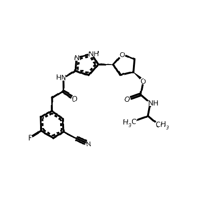 CC(C)NC(=O)O[C@@H]1CO[C@H](c2cc(NC(=O)Cc3cc(F)cc(C#N)c3)n[nH]2)C1